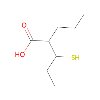 CCCC(C(=O)O)C(S)CC